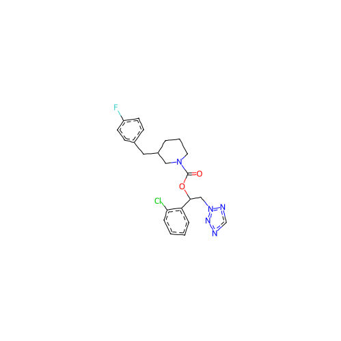 O=C(OC(Cn1ncnn1)c1ccccc1Cl)N1CCCC(Cc2ccc(F)cc2)C1